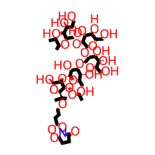 CCOOC1C(O[C@H]2OC(CO)[C@@H](O)C(O[C@H]3OC(CO)[C@@H](O)C(O)C3O[C@H]3OC(CO)[C@H](O)C(O)C3O[C@H]3OC(CO)[C@H](O)C(O)C3OC(C)CC)C2O)[C@H](O)O[C@@H]1C(C)(C)OCCCC(=O)ON1C(=O)CCC1=O